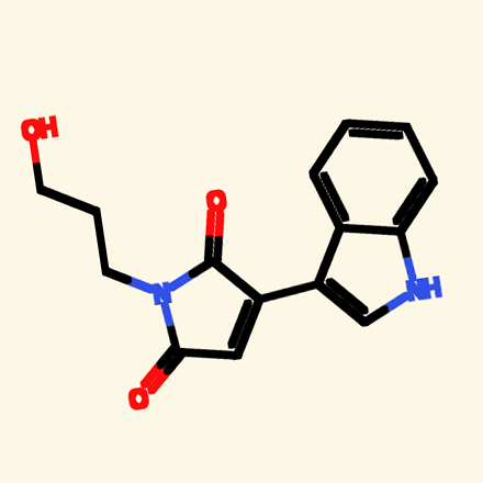 O=C1C=C(c2c[nH]c3ccccc23)C(=O)N1CCCO